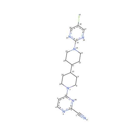 N#Cc1nccc(N2CCC(C3CCN(c4ncc(F)cn4)CC3)CC2)n1